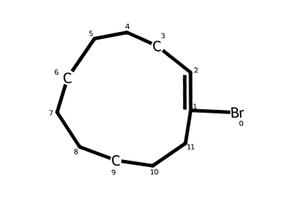 BrC1=CCCCCCCCCC1